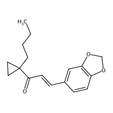 CCCCC1(C(=O)C=Cc2ccc3c(c2)OCO3)CC1